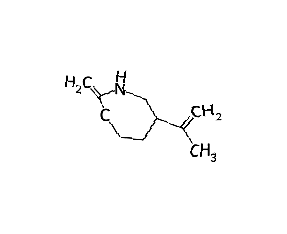 C=C1CCCC(C(=C)C)CN1